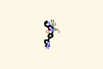 BC1(B)c2ncccc2C(=O)N1Cc1ccc(-c2ccc3cncn3c2)cc1